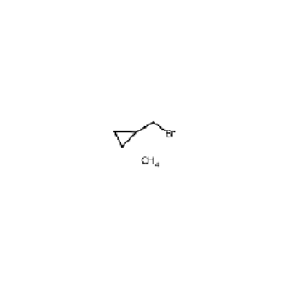 BrCC1CC1.C